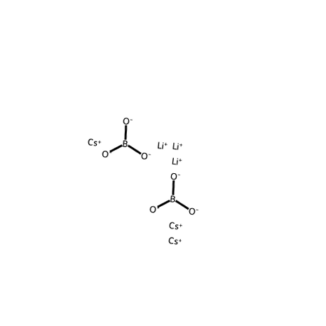 [Cs+].[Cs+].[Cs+].[Li+].[Li+].[Li+].[O-]B([O-])[O-].[O-]B([O-])[O-]